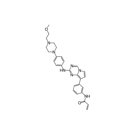 C=CC(=O)Nc1cccc(-c2ccn3cnc(Nc4ccc(N5CCN(CCOC)CC5)cc4)nc23)c1